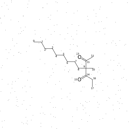 CCCCCCCCCC(C)(C(C)=O)C(=O)CC